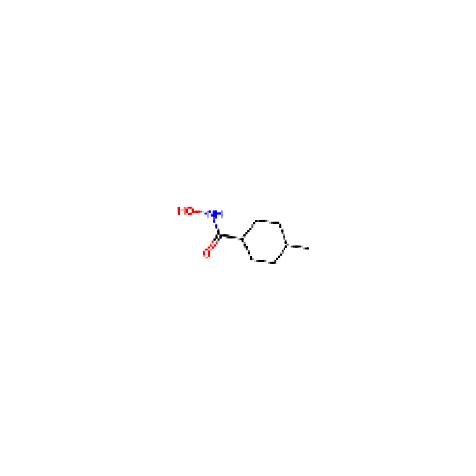 CC1CCC(C(=O)NO)CC1